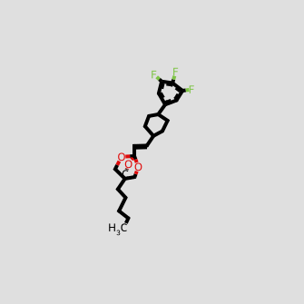 CCCCCC12COC(C=CC3CCC(c4cc(F)c(F)c(F)c4)CC3)(OC1)OC2